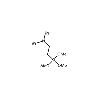 CO[Si](CCN(C(C)C)C(C)C)(OC)OC